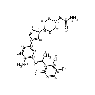 CC(Oc1cc(-c2cnn(C3CCN(CC(N)=O)CC3)c2)cnc1N)c1c(Cl)ccc(F)c1Cl